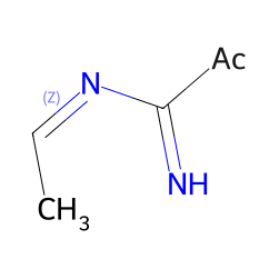 C/C=N\C(=N)C(C)=O